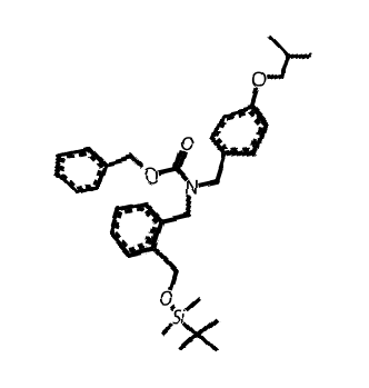 CC(C)COc1ccc(CN(Cc2ccccc2CO[Si](C)(C)C(C)(C)C)C(=O)OCc2ccccc2)cc1